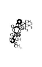 COc1ccnc(C(=O)N[C@H]2COC(=O)[C@H](Cc3ccccc3)[C@@H](OC(=O)OC(C)C)[C@H](C)OC2=O)c1O